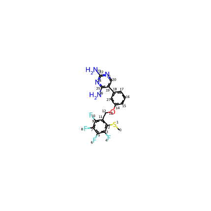 CSc1c(F)c(F)c(F)c(F)c1COc1cccc(-c2cnc(N)nc2N)c1